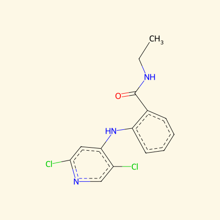 CCNC(=O)c1ccccc1Nc1cc(Cl)ncc1Cl